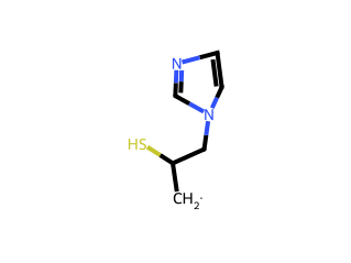 [CH2]C(S)Cn1ccnc1